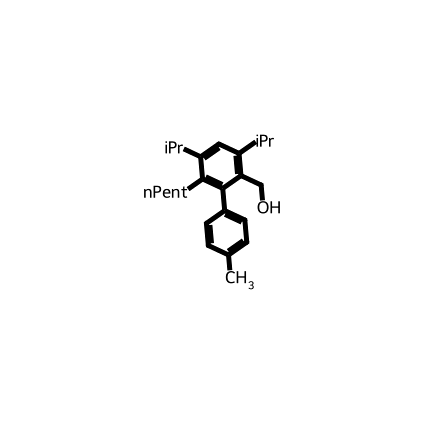 CCCCCc1c(C(C)C)cc(C(C)C)c(CO)c1-c1ccc(C)cc1